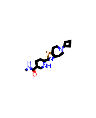 CNC(=O)C1CCC(c2nc3c(s2)CCN(C2CCC2)CC3)NC1